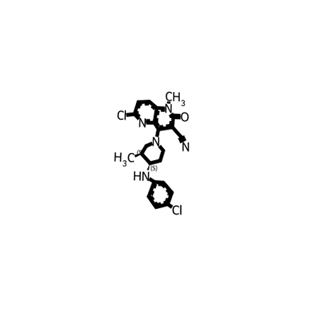 C[C@H]1CN(c2c(C#N)c(=O)n(C)c3ccc(Cl)nc23)CC[C@@H]1Nc1ccc(Cl)cc1